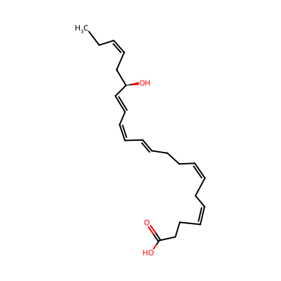 CC/C=C\C[C@@H](O)/C=C/C=C\C=C\CC/C=C\C/C=C\CCC(=O)O